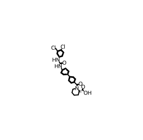 O=C(Nc1ccc(-c2ccc(C(=O)N3CCCC[C@H]3C(=O)O)cc2)cc1)Nc1ccc(Cl)c(Cl)c1